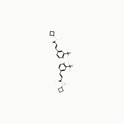 O=C(/C=C/c1ccc(Sc2ccc(/C=C/C(=O)NC3CCC3)cc2C(F)(F)F)c(C(F)(F)F)c1)NC1CCC1